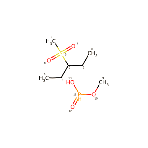 CCC(CC)S(C)(=O)=O.CO[PH](=O)O